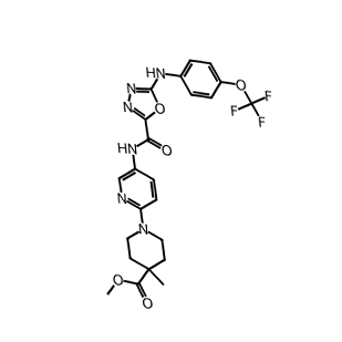 COC(=O)C1(C)CCN(c2ccc(NC(=O)c3nnc(Nc4ccc(OC(F)(F)F)cc4)o3)cn2)CC1